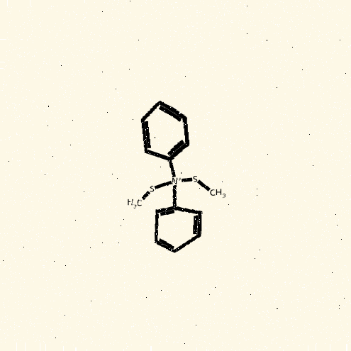 CS[N+](SC)(c1ccccc1)c1ccccc1